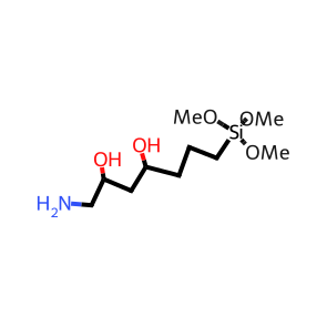 CO[Si](CCCC(O)CC(O)CN)(OC)OC